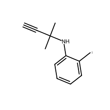 [CH]c1ccccc1NC(C)(C)C#C